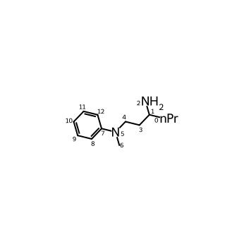 CCCC(N)CCN(C)c1ccccc1